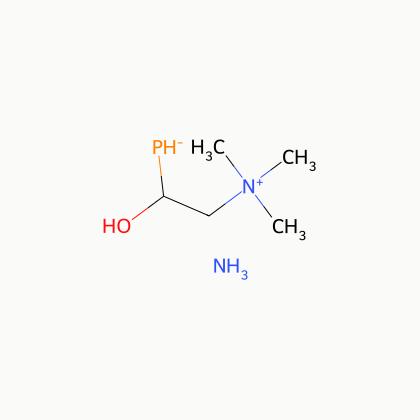 C[N+](C)(C)CC(O)[PH-].N